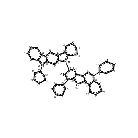 c1ccc(-c2cc3c4nc(-n5c6ccccc6c6cc7c8ccccc8n(-c8ccccc8)c7cc65)nc(-c5ccccc5)c4oc3c3ccccc23)cc1